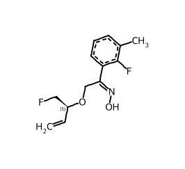 C=C[C@@H](CF)OCC(=NO)c1cccc(C)c1F